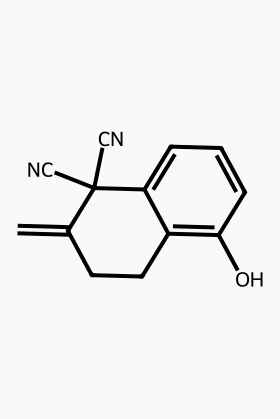 C=C1CCc2c(O)cccc2C1(C#N)C#N